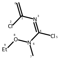 C=C(Cl)/N=C(/Cl)N(C)OCC